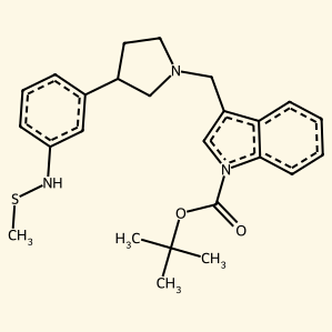 CSNc1cccc(C2CCN(Cc3cn(C(=O)OC(C)(C)C)c4ccccc34)C2)c1